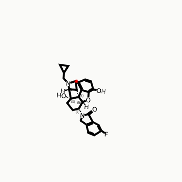 Cc1ccc(O)c2c1[C@]13C4CN(CC5CC5)[C@H]4[C@]1(O)CC[C@@H](N1Cc4ccc(F)cc4C1=O)[C@@H]3O2